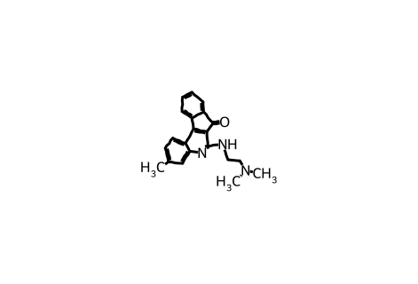 Cc1ccc2c3c(c(NCCN(C)C)nc2c1)C(=O)c1ccccc1-3